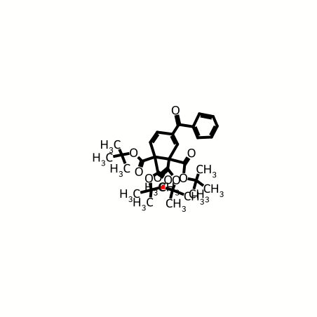 CC(C)(C)OC(=O)C1(C(=O)OC(C)(C)C)C=CC(C(=O)c2ccccc2)=CC1(C(=O)OC(C)(C)C)C(=O)OC(C)(C)C